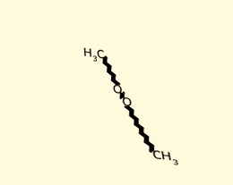 CCCCCCCCCCCCOCCOCCCCCCCC